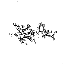 CC(C=C(CN)CN)C(C)(CC(C)(F)F)C(CN(C)CCN)OCc1ccnc(NC(=O)C2CC2)c1